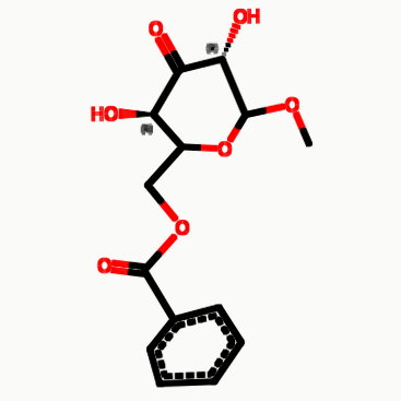 COC1OC(COC(=O)c2ccccc2)[C@@H](O)C(=O)[C@@H]1O